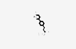 COc1ccc(-c2ccc(CCC(=O)O)cc2)cn1